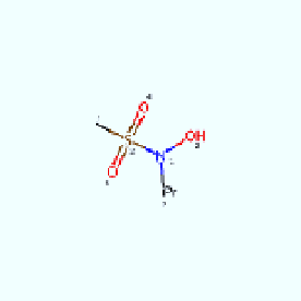 CC(C)N(O)S(C)(=O)=O